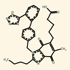 CCCCc1nc2c(n1Cc1ccc(-c3ccccc3-c3nnn[nH]3)cc1)C(=O)C(CCCCC(=O)O)=C(C)C2=O